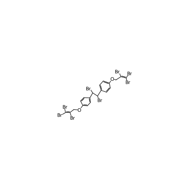 BrC(Br)=C(Br)COc1ccc(C(Br)C(Br)c2ccc(OCC(Br)=C(Br)Br)cc2)cc1